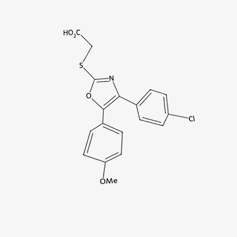 COc1ccc(-c2oc(SCC(=O)O)nc2-c2ccc(Cl)cc2)cc1